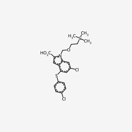 C[Si](C)(C)CCOCn1c(C(=O)O)cc2c(Sc3ccc(Cl)cc3)cc(Cl)cc21